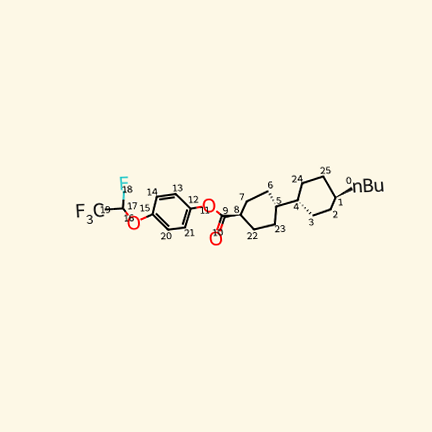 CCCC[C@H]1CC[C@H]([C@H]2CC[C@H](C(=O)Oc3ccc(OC(F)C(F)(F)F)cc3)CC2)CC1